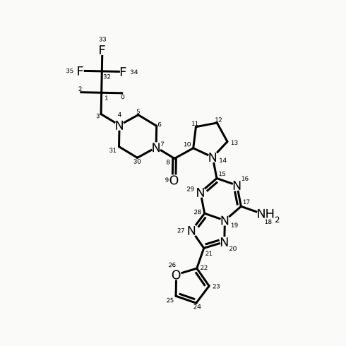 CC(C)(CN1CCN(C(=O)C2CCCN2c2nc(N)n3nc(-c4ccco4)nc3n2)CC1)C(F)(F)F